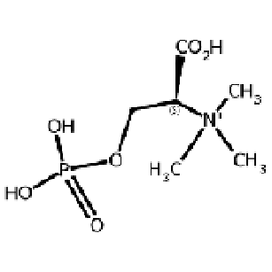 C[N+](C)(C)[C@@H](COP(=O)(O)O)C(=O)O